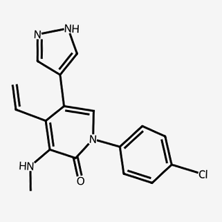 C=Cc1c(-c2cn[nH]c2)cn(-c2ccc(Cl)cc2)c(=O)c1NC